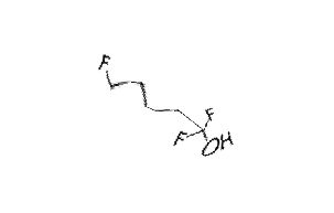 OC(F)(F)CCCCF